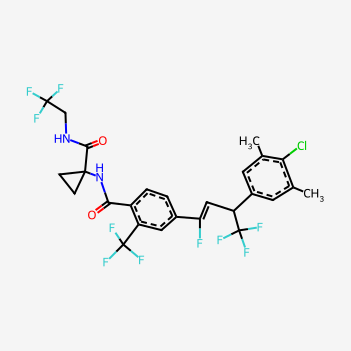 Cc1cc(C(C=C(F)c2ccc(C(=O)NC3(C(=O)NCC(F)(F)F)CC3)c(C(F)(F)F)c2)C(F)(F)F)cc(C)c1Cl